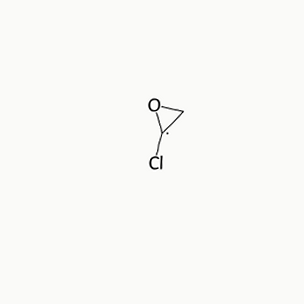 Cl[C]1CO1